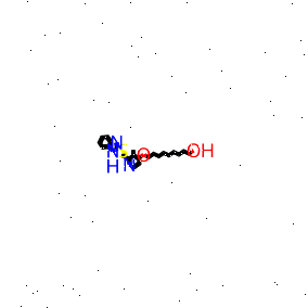 Cc1c(OCCCCCCCCCO)ccnc1CSc1nc2ccccc2[nH]1